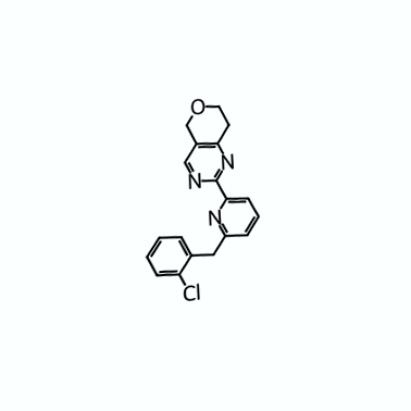 Clc1ccccc1Cc1cccc(-c2ncc3c(n2)CCOC3)n1